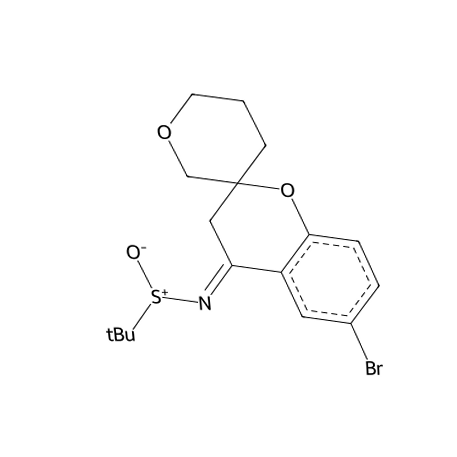 CC(C)(C)[S+]([O-])N=C1CC2(CCCOC2)Oc2ccc(Br)cc21